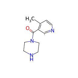 Cc1ccn[c]c1C(=O)N1CCNCC1